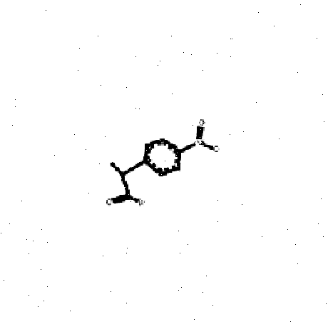 CC(C(=O)Br)c1ccc([N+](=O)[O-])cc1